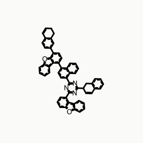 C1=Cc2ccc(-c3ccc(-c4ccc(-c5nc(-c6cccc7oc8ccccc8c67)nc(C6C=Cc7ccccc7C6)n5)c5ccccc45)c4c3oc3ccccc34)cc2CC1